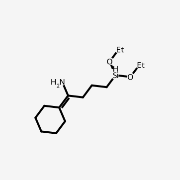 CCO[SiH](CCCC(N)=C1CCCCC1)OCC